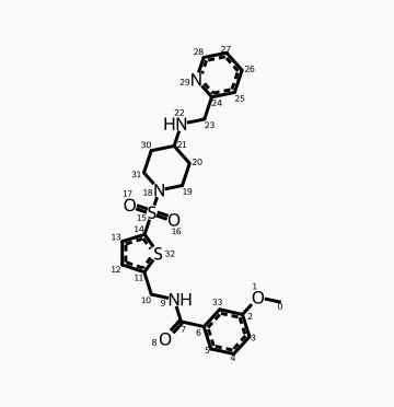 COc1cccc(C(=O)NCc2ccc(S(=O)(=O)N3CCC(NCc4ccccn4)CC3)s2)c1